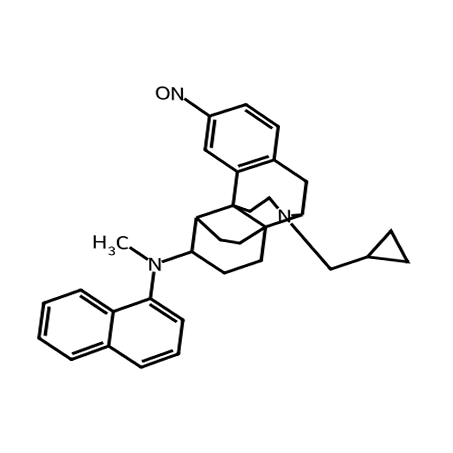 CN(c1cccc2ccccc12)C1CCC23CCC1C21CCN(CC2CC2)C3Cc2ccc(N=O)cc21